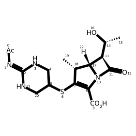 CC(=O)N=C1NCC(SC2=C(C(=O)O)N3C(=O)[C@H]([C@@H](C)O)[C@H]3[C@H]2C)CN1